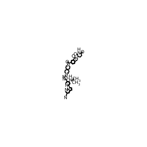 CC(C)Nc1cc(-c2ccc3cc(C#N)cnn23)ncc1-c1nnc(N2CCC3(CCN(C(=O)c4ccc5c(c4)C(=O)N(C4CCC(=O)NC4=O)C5)CC3)CC2)s1